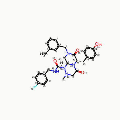 Bc1cccc(CN2C[C@H]3N(C(=O)CN(C)N3C(=O)NCc3ccc(F)cc3)[C@@H](Cc3ccc(O)cc3)C2=O)c1